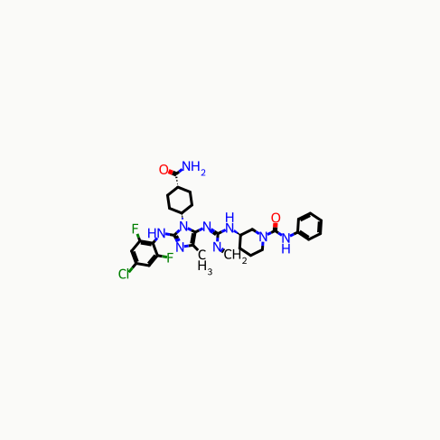 C=N/C(=N\c1c(C)nc(Nc2c(F)cc(Cl)cc2F)n1[C@H]1CC[C@@H](C(N)=O)CC1)N[C@@H]1CCCN(C(=O)Nc2ccccc2)C1